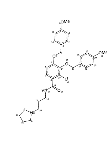 COc1ccc(COc2ccc(C(=O)NCCCN3CCCC3)c(Cl)c2OCc2ccc(OC)cc2)cc1